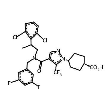 CC(CN(Cc1cc(F)cc(F)c1)C(=O)c1cnn([C@H]2CC[C@H](C(=O)O)CC2)c1C(F)(F)F)c1c(Cl)cccc1Cl